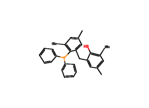 Cc1cc(Cc2cc(C)cc(C(C)(C)C)c2P(c2ccccc2)c2ccccc2)c(O)c(C(C)(C)C)c1